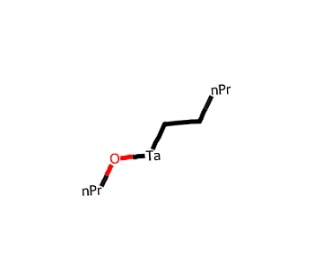 CCCC[CH2][Ta][O]CCC